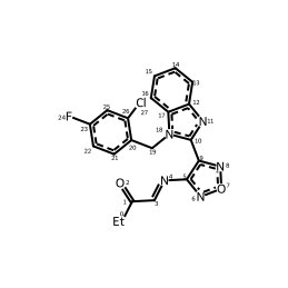 CCC(=O)/C=N/c1nonc1-c1nc2ccccc2n1Cc1ccc(F)cc1Cl